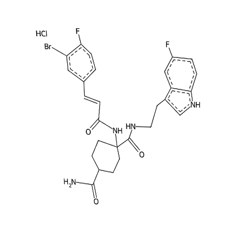 Cl.NC(=O)C1CCC(NC(=O)C=Cc2ccc(F)c(Br)c2)(C(=O)NCCc2c[nH]c3ccc(F)cc23)CC1